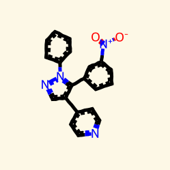 O=[N+]([O-])c1cccc(-c2c(-c3ccncc3)cnn2-c2ccccc2)c1